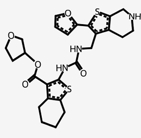 O=C(NCc1c(-c2ccco2)sc2c1CCNC2)Nc1sc2c(c1C(=O)OC1CCOC1)CCCC2